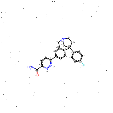 NC(=O)c1ccc(-c2ccc3c(c2)CN2CCC3(c3ccc(F)cc3)CC2)nn1